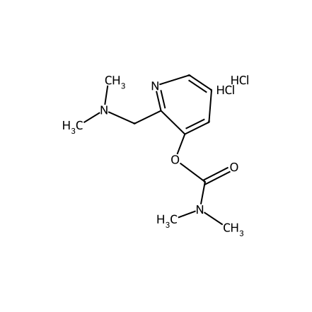 CN(C)Cc1ncccc1OC(=O)N(C)C.Cl.Cl